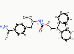 NC(=O)c1ccc(C[C@@H](C=O)NC(=O)OCC2c3ccccc3-c3ccccc32)cc1